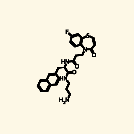 NCCCNC(=O)[C@@H](Cc1ccc2ccccc2c1)NC(=O)CCN1C(=O)C=CSc2cc(F)ccc21